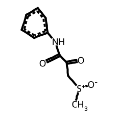 C[S+]([O-])CC(=O)C(=O)Nc1ccccc1